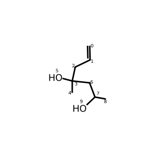 C=CCC(C)(O)CC(C)O